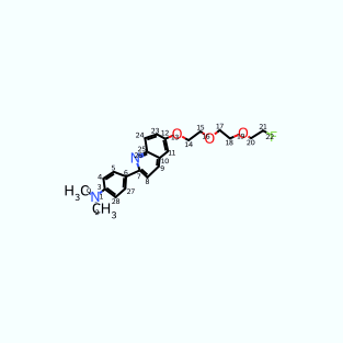 CN(C)c1ccc(-c2ccc3cc(OCCOCCOCCF)ccc3n2)cc1